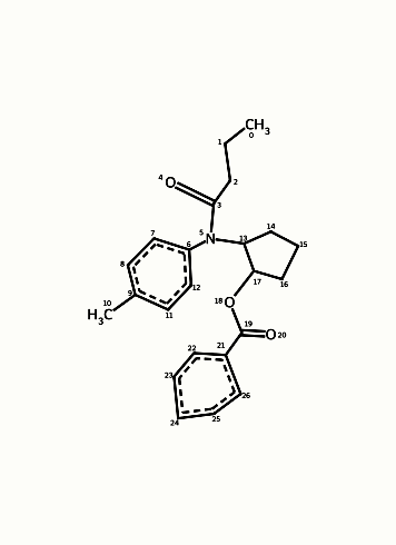 CCCC(=O)N(c1ccc(C)cc1)C1CCCC1OC(=O)c1ccccc1